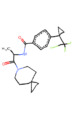 CC(NC(=O)c1ccc(C2(C(F)(F)F)CC2)cc1)C(=O)N1CCC2(CC1)CC2